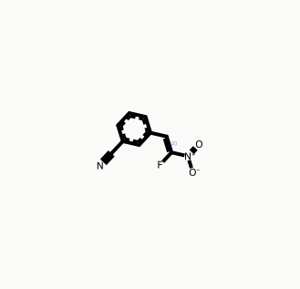 N#Cc1cccc(/C=C(\F)[N+](=O)[O-])c1